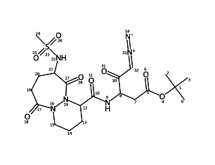 CC(C)(C)OC(=O)CC(NC(=O)C1CCCN2C(=O)CCC(NS(C)(=O)=O)C(=O)N12)C(=O)C=[N+]=[N-]